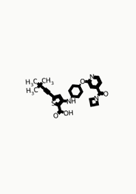 CC(C)(C)C#Cc1cc(N[C@H]2CC[C@H](Oc3cc(C(=O)N4CCC4)ccn3)CC2)c(C(=O)O)s1